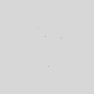 CCc1nn(-c2c(C)cc(C(F)(F)F)cc2C)c(=O)c(-n2cnc(C#N)n2)c1O